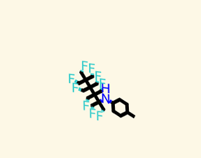 CC1CCC(NC(CF)(CF)C(CF)(CF)C(CF)(CF)C(CF)(CF)CF)CC1